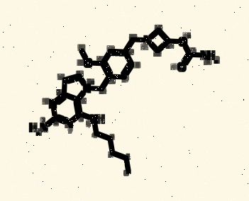 CCCCCNc1nc(N)nc2ccn(Cc3ccc(CN4CC(OC(N)=O)C4)cc3OC)c12